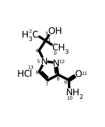 CC(C)(O)Cn1ccc(C(N)=O)n1.Cl